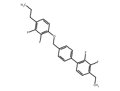 CCCc1ccc(OCc2ccc(-c3ccc(CC)c(F)c3F)cc2)c(F)c1F